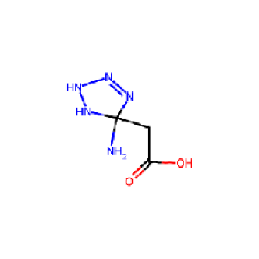 NC1(CC(=O)O)N=NNN1